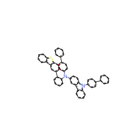 c1ccc(-c2ccc(N(c3ccc4c(c3)c3ccccc3n4-c3ccc(-c4ccccc4)cc3)c3ccccc3-c3ccc4sc5ccccc5c4c3)cc2)cc1